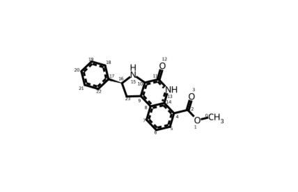 COC(=O)c1cccc2c3c(c(=O)[nH]c12)N[C@H](c1ccccc1)C3